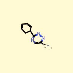 Cc1cnc(C2C=CC=CC2)nn1